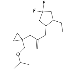 C=C(CC1CC(F)(F)CC1CC)CC1(COC(C)C)CC1